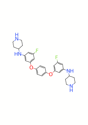 Fc1cc(NC2CCNCC2)cc(Oc2ccc(Oc3cc(F)cc(NC4CCNCC4)c3)cc2)c1